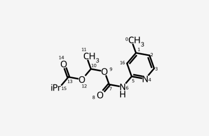 Cc1ccnc(NC(=O)OC(C)OC(=O)C(C)C)c1